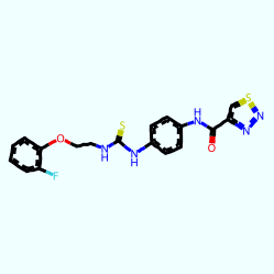 O=C(Nc1ccc(NC(=S)NCCOc2ccccc2F)cc1)c1csnn1